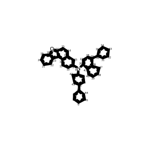 c1ccc(-c2ccc(N(c3ccc4c(ccc5oc6ccccc6c54)c3)c3ccc(-c4ccccc4)c4ccccc34)cc2)cc1